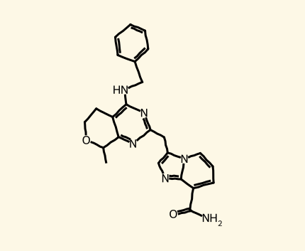 CC1OCCc2c(NCc3ccccc3)nc(Cc3cnc4c(C(N)=O)cccn34)nc21